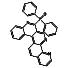 O=P(c1ccccc1)(c1ccccc1)c1nc2ccccc2c2c1cnc1c2ccc2cccnc21